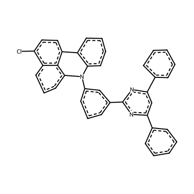 Clc1ccc2c3c(cccc13)N(c1cccc(-c3nc(-c4ccccc4)cc(-c4ccccc4)n3)c1)c1ccccc1-2